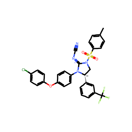 Cc1ccc(S(=O)(=O)N2C[C@H](c3cccc(C(F)(F)F)c3)N(c3ccc(Oc4ccc(Cl)cc4)cc3)/C2=N/C#N)cc1